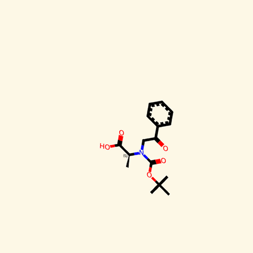 C[C@@H](C(=O)O)N(CC(=O)c1ccccc1)C(=O)OC(C)(C)C